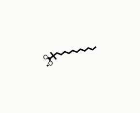 CCCCCCCCCCCC(C)(C)C(=O)OC